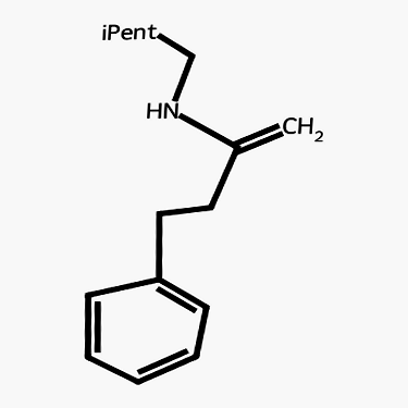 C=C(CCc1ccccc1)NCC(C)CCC